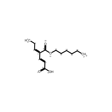 CCC=C(C=CC(=O)O)C(=O)OCCCCCC